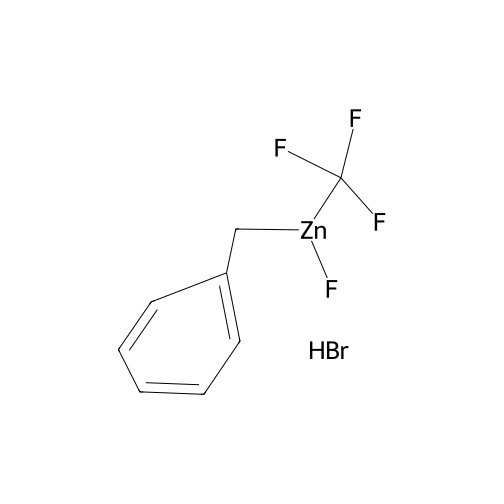 Br.[F][Zn]([CH2]c1ccccc1)[C](F)(F)F